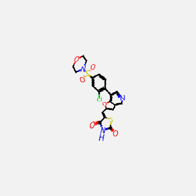 O=C1NC(=O)/C(=C/c2cc3cncc(-c4ccc(S(=O)(=O)N5CCOCC5)cc4Cl)c3o2)S1